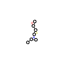 c1ccc(-c2ccc3c(c2)c2ccccc2n3-c2ccc3c(c2)sc2ccc(-c4ccc5oc6ccccc6c5c4)cc23)cc1